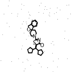 O=C1N=C(N2CCC3(CC2)OCc2ccccc23)SC1=C(C1CCCC1)C1CCCC1